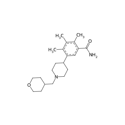 Cc1c(C(N)=O)cc(C2CCN(CC3CCOCC3)CC2)c(C)c1C